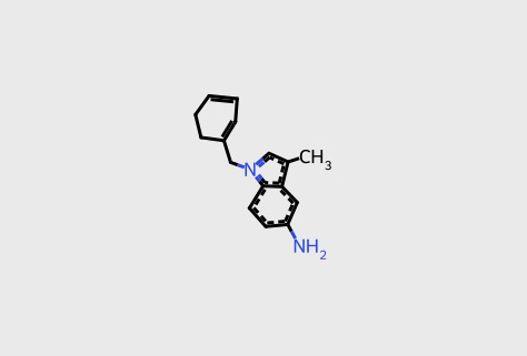 Cc1cn(CC2=CC=CCC2)c2ccc(N)cc12